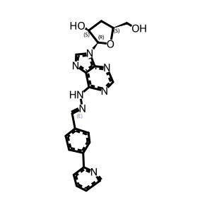 OC[C@@H]1C[C@H](O)[C@H](n2cnc3c(N/N=C/c4ccc(-c5ccccn5)cc4)ncnc32)O1